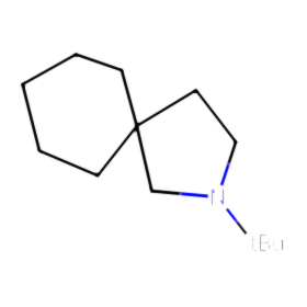 CC(C)(C)N1CCC2(CCCCC2)C1